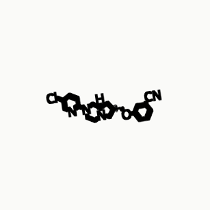 N#Cc1cccc(OC[C@H]2C[C@H]3CN(c4ccc(Cl)cn4)CCN3C2)c1